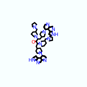 O=C(C(CC1CCN(c2ccnc3cnc4[nH]ccc4c23)CC1)N1CCCC(CN2CCCC2)C1)C(CC1CCN(c2ccnc3cnc4[nH]ccc4c23)CC1)N1CCCC(CN2CCCC2)C1